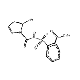 CCCC1CC=NN1C(=O)NS(=O)(=O)c1ccccc1C(=O)OC